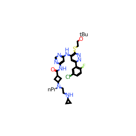 CCCN(CCNC1CC1)C1CC(C(=O)Nc2cc(Nc3cc(-c4cc(Cl)ccc4F)nnc3SCCOC(C)(C)C)ncn2)C1